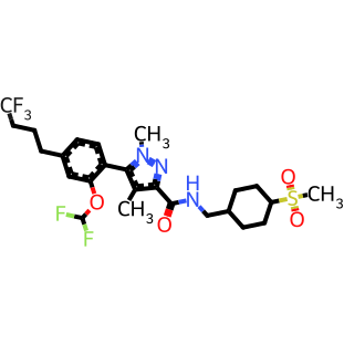 Cc1c(C(=O)NCC2CCC(S(C)(=O)=O)CC2)nn(C)c1-c1ccc(CCCC(F)(F)F)cc1OC(F)F